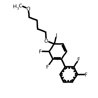 COCCCCOC1(I)C=CC(c2cccc(F)c2F)=C(F)C1F